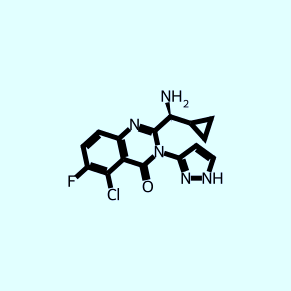 N[C@H](c1nc2ccc(F)c(Cl)c2c(=O)n1-c1cc[nH]n1)C1CC1